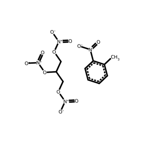 Cc1ccccc1[N+](=O)[O-].O=[N+]([O-])OCC(CO[N+](=O)[O-])O[N+](=O)[O-]